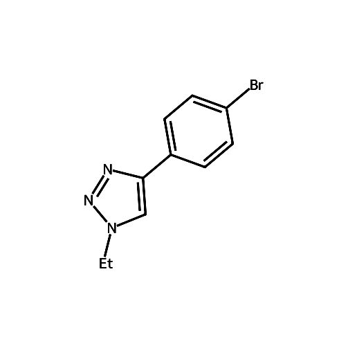 CCn1cc(-c2ccc(Br)cc2)nn1